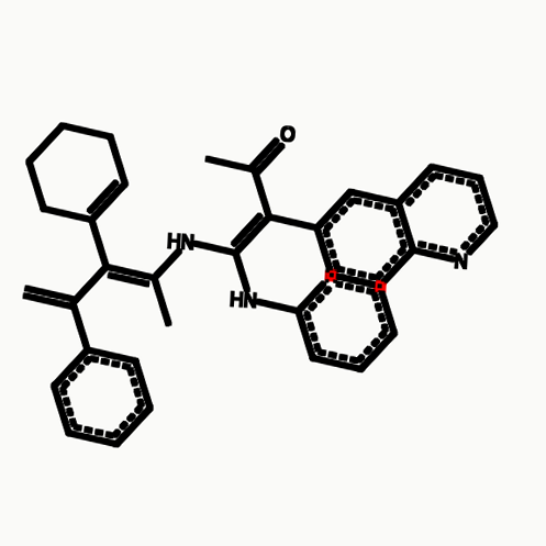 C=C(/C(C1=CCCCC1)=C(\C)N/C(Nc1ccccn1)=C(\C(C)=O)c1ccc2ncccc2c1)c1ccccc1